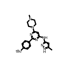 Cc1cc(Nc2cc(N3CCN(C)CC3)nc(-c3ccc(C(C)(C)C)cc3)n2)n[nH]1